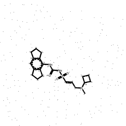 CN(C/C=C/S(=O)(=O)NC(=O)Nc1c2c(cc3c1CCC3)CCC2)C1CCC1